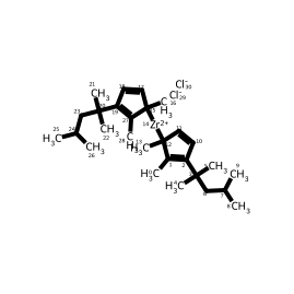 CC1=C(C(C)(C)CC(C)C)C=C[C]1(C)[Zr+2][C]1(C)C=CC(C(C)(C)CC(C)C)=C1C.[Cl-].[Cl-]